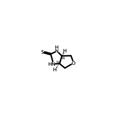 S=C1N[C@H]2COC[C@H]2N1